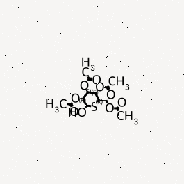 CC(=O)OC[C@H]1SC(O)[C@H](OC(C)=O)[C@@H](OC(C)=O)[C@@H]1OC(C)=O